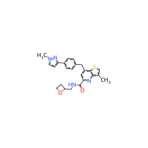 Cc1csc2c(Cc3ccc(-c4ccn(C)n4)cc3)cc(C(=O)NCC3CCO3)nc12